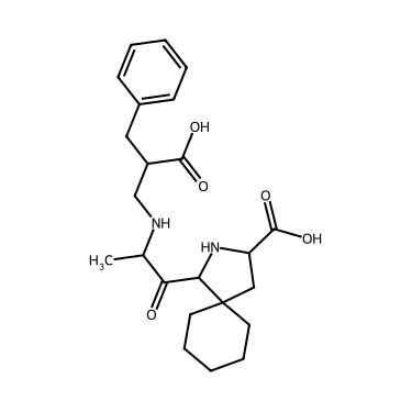 CC(NCC(Cc1ccccc1)C(=O)O)C(=O)C1NC(C(=O)O)CC12CCCCC2